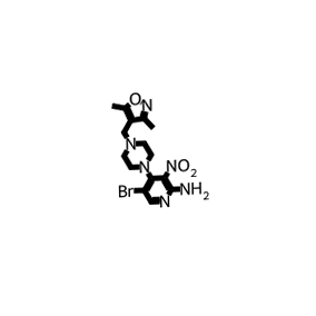 Cc1noc(C)c1CN1CCN(c2c(Br)cnc(N)c2[N+](=O)[O-])CC1